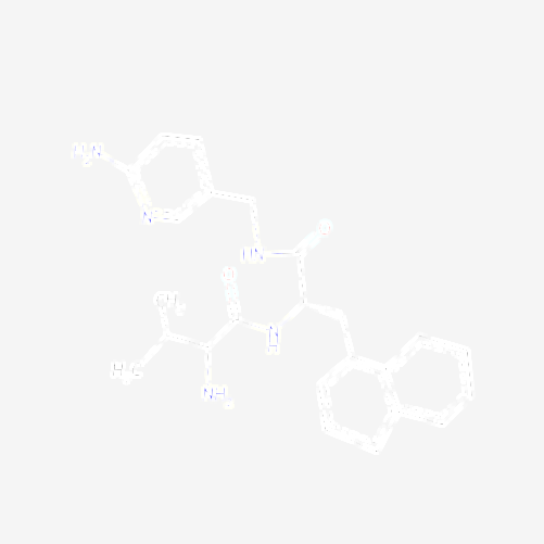 CC(C)C(N)C(=O)N[C@@H](Cc1cccc2ccccc12)C(=O)NCc1ccc(N)nc1